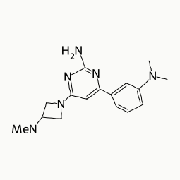 CNC1CN(c2cc(-c3cccc(N(C)C)c3)nc(N)n2)C1